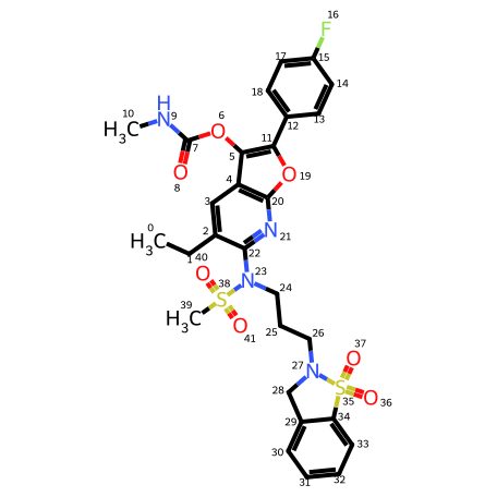 CCc1cc2c(OC(=O)NC)c(-c3ccc(F)cc3)oc2nc1N(CCCN1Cc2ccccc2S1(=O)=O)S(C)(=O)=O